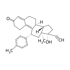 C#C[C@]1(O)CC[C@H]2[C@@H]3CCC4=CC(=O)CCC4=C3[C@@H](c3ccc(C)cc3)C[C@@]21C